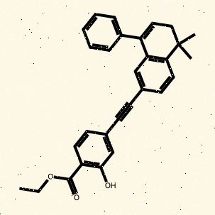 CCOC(=O)c1ccc(C#Cc2ccc3c(c2)C(c2ccccc2)=CCC3(C)C)cc1O